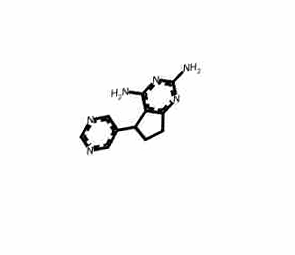 Nc1nc(N)c2c(n1)CCC2c1cncnc1